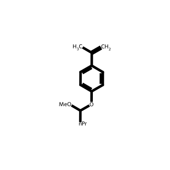 C=C(C)c1ccc(OC(CCC)OC)cc1